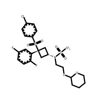 O=S(=O)(N(CCOC1CCCCO1)[C@H]1C[C@@](c2cc(F)ccc2F)(S(=O)(=O)c2ccc(Cl)cc2)C1)C(F)(F)F